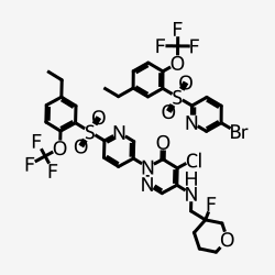 CCc1ccc(OC(F)(F)F)c(S(=O)(=O)c2ccc(-n3ncc(NCC4(F)CCCOC4)c(Cl)c3=O)cn2)c1.CCc1ccc(OC(F)(F)F)c(S(=O)(=O)c2ccc(Br)cn2)c1